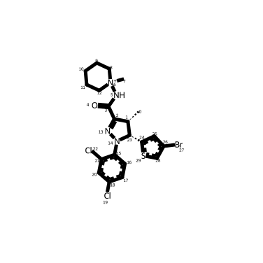 C[C@H]1C(C(=O)N[N+]2(C)CCCCC2)=NN(c2ccc(Cl)cc2Cl)[C@H]1c1cc(Br)cs1